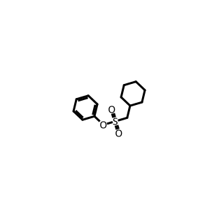 O=S(=O)(CC1CCCCC1)Oc1ccccc1